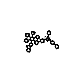 CC1(C)c2ccccc2-c2ccc(-c3c(-c4ccccc4)c(-c4ccccc4)c(-c4ccccc4)c(-c4ccccc4)c3-c3cccc(-c4ccc(-c5cc(-c6ccc(-c7ccccc7)cc6)nc(-c6ccccc6)n5)cc4)c3)cc21